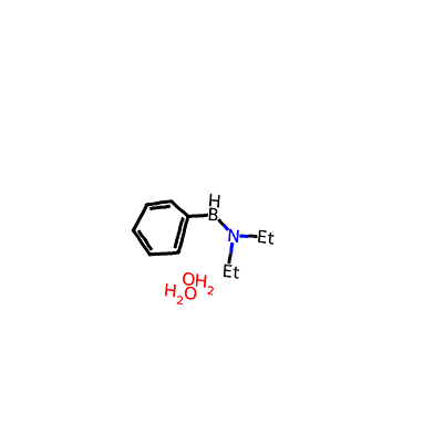 CCN(Bc1ccccc1)CC.O.O